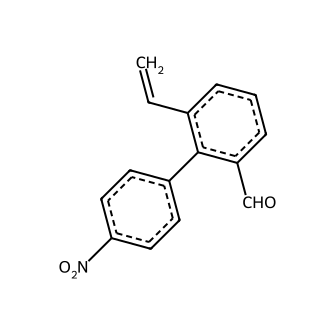 C=Cc1cccc(C=O)c1-c1ccc([N+](=O)[O-])cc1